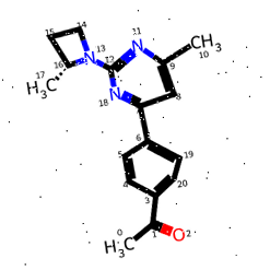 CC(=O)c1ccc(-c2cc(C)nc(N3CC[C@H]3C)n2)cc1